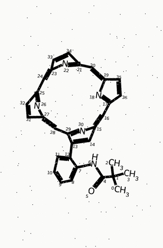 CC(C)(C)C(=O)Nc1ccccc1C1=CC2=CC3=NC(=CC4=NC(=CC5=NC(=CC1=N2)C=C5)C=C4)C=C3